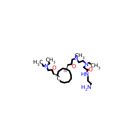 CCN(CC)CC(=O)C[C@@H]1CCCCCCC[C@H](CC(=O)CN(C)CCN(CC)CC(=O)NCCCN)CC1